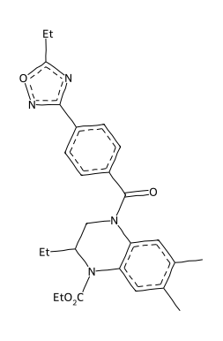 CCOC(=O)N1c2cc(C)c(C)cc2N(C(=O)c2ccc(-c3noc(CC)n3)cc2)CC1CC